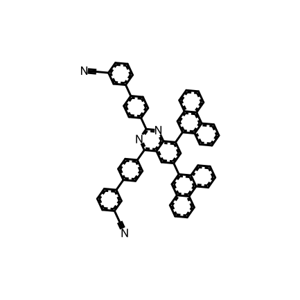 N#Cc1cccc(-c2ccc(-c3nc(-c4ccc(-c5cccc(C#N)c5)cc4)c4cc(-c5cc6ccccc6c6ccccc56)cc(-c5cc6ccccc6c6ccccc56)c4n3)cc2)c1